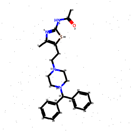 CC(=O)Nc1nc(C)c(CCN2CCN(C(c3ccccc3)c3ccccc3)CC2)s1